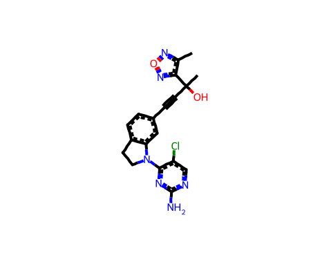 Cc1nonc1C(C)(O)C#Cc1ccc2c(c1)N(c1nc(N)ncc1Cl)CC2